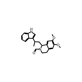 COc1cc2c(cc1OC)C(CC(C)c1c[nH]c3ccccc13)N(C=O)CC2